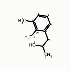 Cc1cccc(CC(C)O)c1C